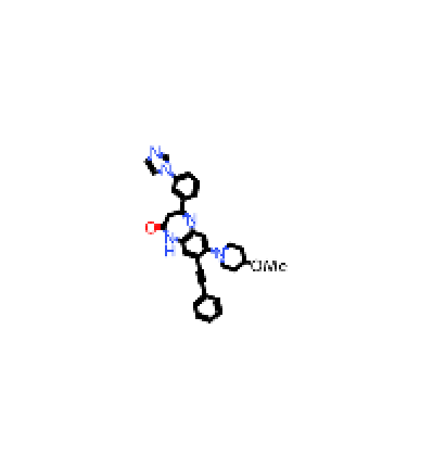 COC1CCN(c2cc3c(cc2C#Cc2ccccc2)NC(=O)CC(c2cccc(-n4ccnc4)c2)=N3)CC1